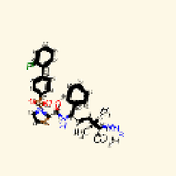 CC(C)(CC[C@H](NC(=O)[C@@H]1SCCN1S(=O)(=O)c1ccc(-c2ccccc2F)cc1)c1ccccc1)[C@H](N)C(=O)O